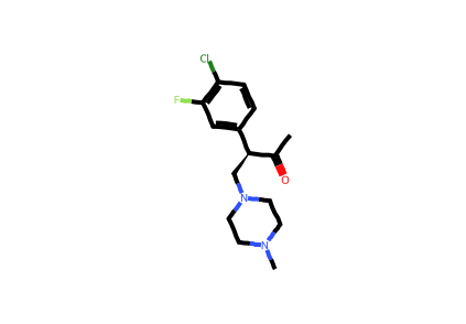 CC(=O)[C@@H](CN1CCN(C)CC1)c1ccc(Cl)c(F)c1